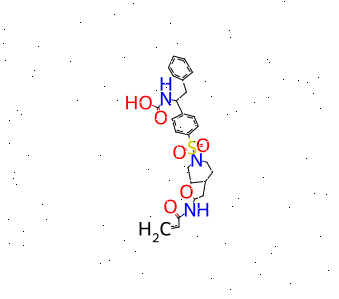 C=CC(=O)NC1CC2CCN(S(=O)(=O)c3ccc(C(Cc4ccccc4)NC(=O)O)cc3)CC2O1